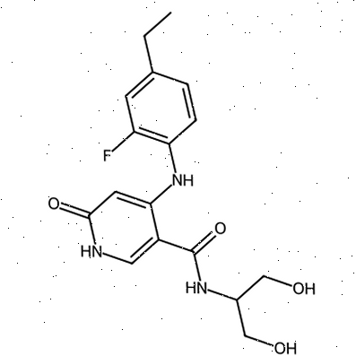 CCc1ccc(Nc2cc(=O)[nH]cc2C(=O)NC(CO)CO)c(F)c1